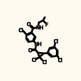 CC(F)CNC(=O)c1cc(NC(=O)C2C(c3cc(Cl)cc(Cl)c3)C2(Cl)Cl)ccc1Cl